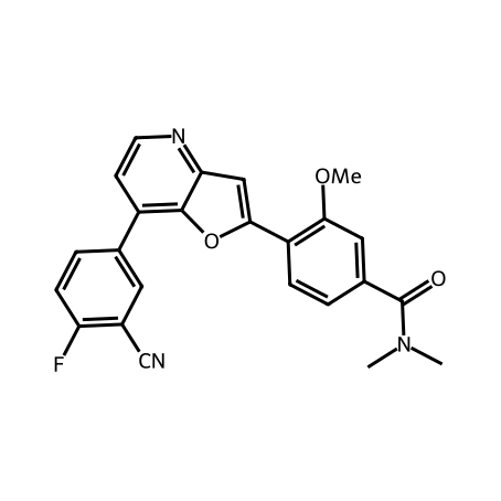 COc1cc(C(=O)N(C)C)ccc1-c1cc2nccc(-c3ccc(F)c(C#N)c3)c2o1